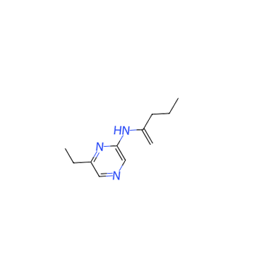 C=C(CCC)Nc1cncc(CC)n1